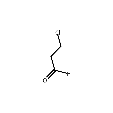 O=C(F)CCCl